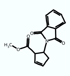 COC(=O)C1C=CCC1N1C(=O)c2ccccc2C1=O